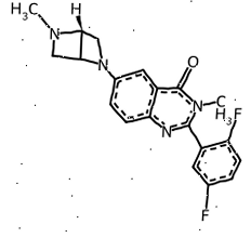 CN1CC2[C@H]1CN2c1ccc2nc(-c3cc(F)ccc3F)n(C)c(=O)c2c1